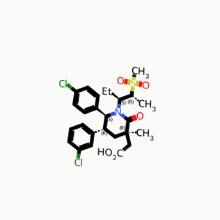 CC[C@@H]([C@@H](C)S(C)(=O)=O)N1C(=O)[C@@](C)(CC(=O)O)C[C@H](c2cccc(Cl)c2)[C@H]1c1ccc(Cl)cc1